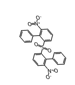 O=[N+]([O-])c1cccc(S(=O)(=O)c2cccc([N+](=O)[O-])c2-c2ccccc2)c1-c1ccccc1